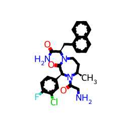 C[C@@H]1CCN([C@H](Cc2cccc3ccccc23)C(N)=O)C(=O)[C@H](c2ccc(F)c(Cl)c2)N1C(=O)CN